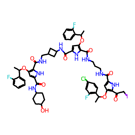 CC(Oc1cc(C(=O)NCCCNC(=O)c2[nH]c(C(=O)NC3CC(CNC(=O)c4[nH]c(C(=O)NC5CCC(O)CC5)cc4OC(C)c4ccccc4F)C3)cc2OC(C)c2ccccc2F)[nH]c1C(=O)CI)c1ccc(Cl)cc1F